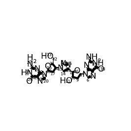 Nc1nc2c(ncn2[C@H]2C[C@H](O)[C@@H](c3cn([C@H]4C[C@H](n5cnc6c(=O)[nH]c(N)nc65)O[C@@H]4CO)nn3)O2)c(=O)[nH]1